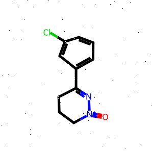 O=[N+]1CCCC(c2cccc(Cl)c2)=N1